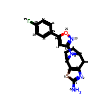 Nc1nc2c(s1)C1CCC(C2)N1c1cc(-c2ccc(F)cc2)on1